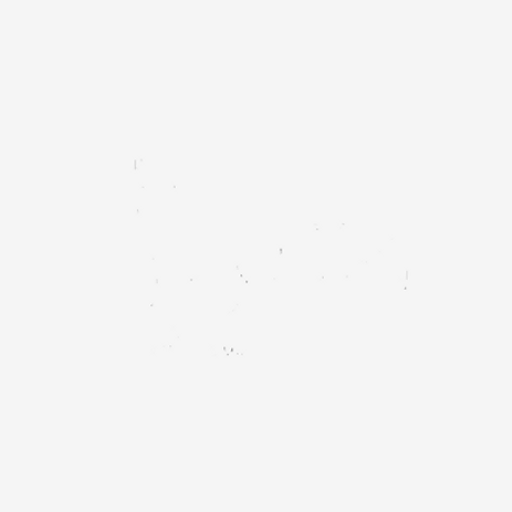 COc1c(Cl)cc(OCC=C(Cl)Cl)cc1/C(C)=N/OCc1ccc(OC(F)(F)F)cc1